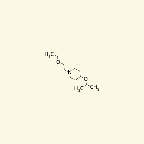 CCOCCN1CCC(OC(C)C)CC1